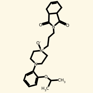 CC(C)Oc1ccccc1N1CC[N+]([O-])(CCCN2C(=O)C3CC=CCC3C2=O)CC1